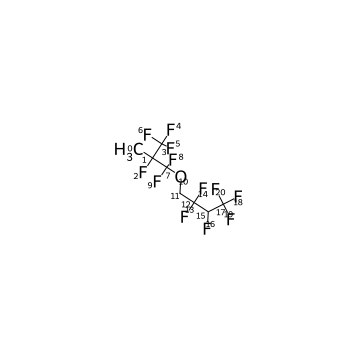 CC(F)(C(F)(F)F)C(F)(F)OCC(F)(F)C(F)C(F)(F)F